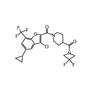 O=C(c1oc2c(C(F)(F)F)cc(C3CC3)cc2c1Cl)N1CCC(C(=O)N2CC(F)(F)C2)CC1